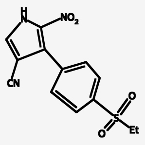 CCS(=O)(=O)c1ccc(-c2c(C#N)c[nH]c2[N+](=O)[O-])cc1